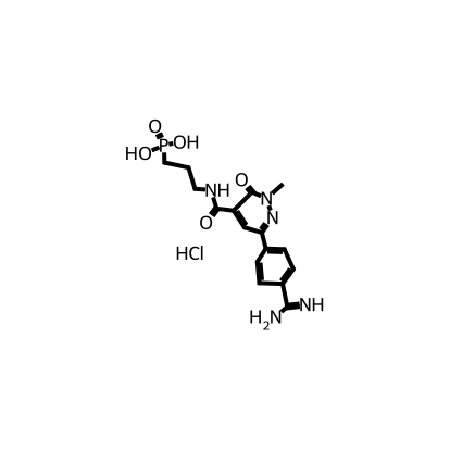 Cl.Cn1nc(-c2ccc(C(=N)N)cc2)cc(C(=O)NCCCP(=O)(O)O)c1=O